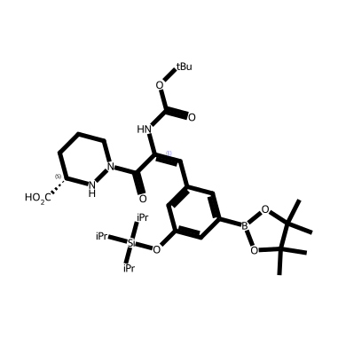 CC(C)[Si](Oc1cc(/C=C(/NC(=O)OC(C)(C)C)C(=O)N2CCC[C@@H](C(=O)O)N2)cc(B2OC(C)(C)C(C)(C)O2)c1)(C(C)C)C(C)C